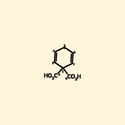 O=C(O)C1(C(=O)O)C=C[CH]C=C1